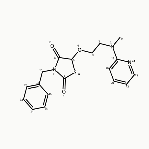 CN(CCOC1SC(=O)N(Cc2ccccc2)C1=O)c1ccccn1